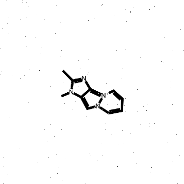 Cc1nc2c(cn3cccc[n+]23)n1C